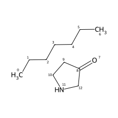 CCCCCCC.O=C1CCNC1